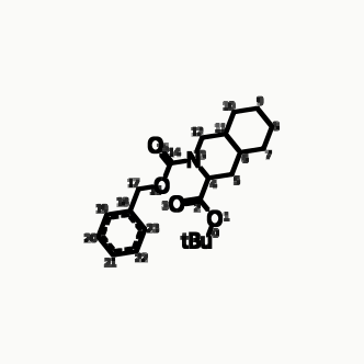 CC(C)(C)OC(=O)C1CC2CCCCC2CN1C(=O)OCc1ccccc1